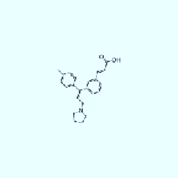 Cc1ccc(C(=CCN2CCCC2)c2cccc(/C=C/C(=O)O)c2)cc1